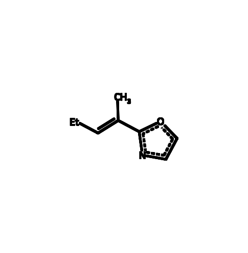 [CH2]CC=C(C)c1ncco1